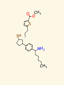 CCCCCC(N)c1ccc(C2CCC(S)[C@@H]2CCCc2ccc(C(=O)OC)s2)cc1